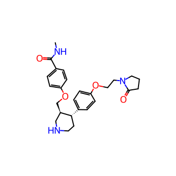 CNC(=O)c1ccc(OC[C@@H]2CNCC[C@H]2c2ccc(OCCN3CCCC3=O)cc2)cc1